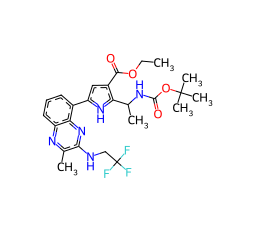 CCOC(=O)c1cc(-c2cccc3nc(C)c(NCC(F)(F)F)nc23)[nH]c1C(C)NC(=O)OC(C)(C)C